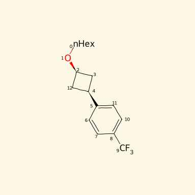 CCCCCCO[C@H]1C[C@@H](c2ccc(C(F)(F)F)cc2)C1